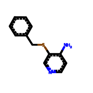 Nc1ccncc1SCc1ccccc1